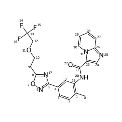 Cc1ccc(-c2noc(CCOCC(F)(F)F)n2)cc1NC(=O)c1cnc2ccccn12